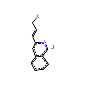 Cl.ClC/C=C/c1cc2ccccc2cn1